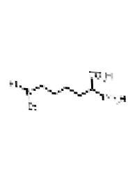 CCN(CC)CCCCC(C(=O)O)C(=O)O